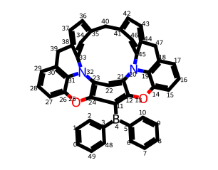 c1ccc(B(c2ccccc2)c2c3oc4cccc5c4n4c3cc3c2oc2cccc6c2n3-c2cc(ccc2C6)Cc2ccc(c-4c2)C5)cc1